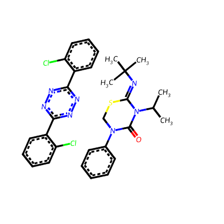 CC(C)N1C(=O)N(c2ccccc2)CS/C1=N\C(C)(C)C.Clc1ccccc1-c1nnc(-c2ccccc2Cl)nn1